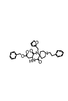 O=C(CC1NC(=O)C2(CCN(CCc3ccccc3)CC2)N(Cc2ccco2)C1=O)OCc1ccccc1